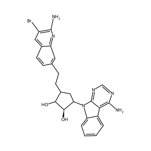 Nc1nc2cc(CCC3CC(n4c5ccccc5c5c(N)ncnc54)[C@@H](O)C3O)ccc2cc1Br